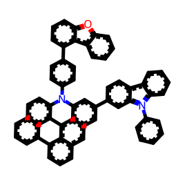 c1ccc(-c2cccc3cccc(-c4ccccc4N(c4ccc(-c5cccc6oc7ccccc7c56)cc4)c4cccc(-c5ccc6c7ccccc7n(-c7ccccc7)c6c5)c4)c23)cc1